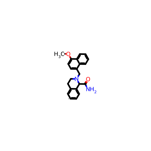 COc1ccc(CN2CCc3c[c]ccc3C2C(N)=O)c2ccccc12